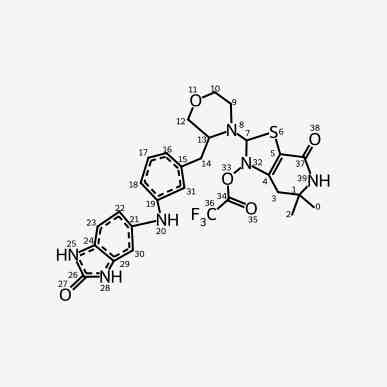 CC1(C)CC2=C(SC(N3CCOCC3Cc3cccc(Nc4ccc5[nH]c(=O)[nH]c5c4)c3)N2OC(=O)C(F)(F)F)C(=O)N1